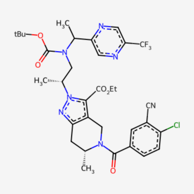 CCOC(=O)c1c2c(nn1[C@H](C)CN(C(=O)OC(C)(C)C)C(C)c1cnc(C(F)(F)F)cn1)C[C@@H](C)N(C(=O)c1ccc(Cl)c(C#N)c1)C2